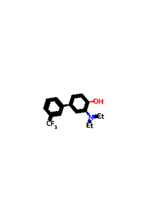 CCN(CC)[C@H]1C[C@@H](c2cccc(C(F)(F)F)c2)CC[C@@H]1O